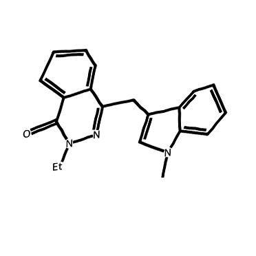 CCn1nc(Cc2cn(C)c3ccccc23)c2ccccc2c1=O